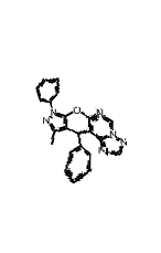 Cc1nn(-c2ccccc2)c2c1C(c1ccccc1)c1c(ncn3ncnc13)O2